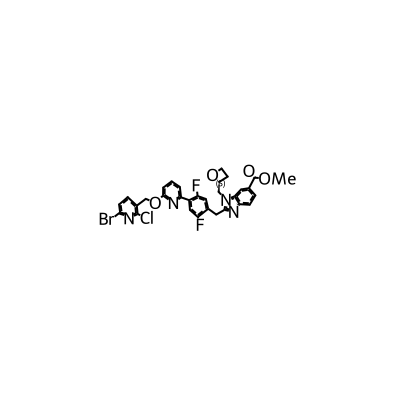 COC(=O)c1ccc2nc(Cc3cc(F)c(-c4cccc(OCc5ccc(Br)nc5Cl)n4)cc3F)n(C[C@@H]3CCO3)c2c1